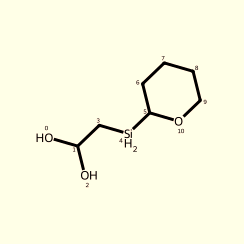 OC(O)C[SiH2]C1CCCCO1